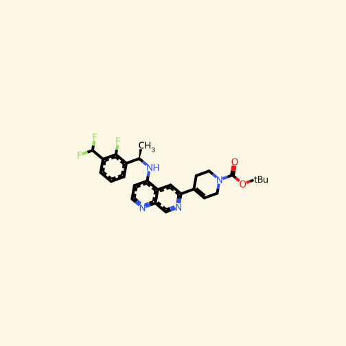 C[C@@H](Nc1ccnc2cnc(C3=CCN(C(=O)OC(C)(C)C)CC3)cc12)c1cccc(C(F)F)c1F